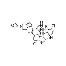 N#Cc1cnc2c(Cl)cc(N[C@H](C3=CNNN3)c3csc4c3CCN(C3COC3)C4)cc2c1Nc1cccc(Cl)c1F